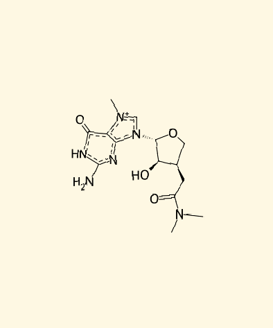 CN(C)C(=O)C[C@@H]1CO[C@@H](n2c[n+](C)c3c(=O)[nH]c(N)nc32)[C@@H]1O